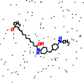 CNC1CCC(CC2CCC(NC(O)CCCCCCCCCCC(C)=O)CC2)CC1